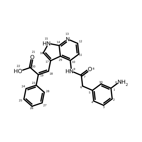 Nc1cccc(CC(=O)Nc2ccnc3[nH]cc(C=C(C(=O)O)c4ccccc4)c23)c1